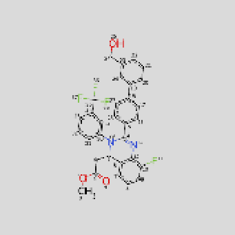 COC(=O)CC1c2cccc(F)c2N=C(c2ccc(-c3cccc(CO)c3)cc2)N1c1cccc(C(F)(F)F)c1